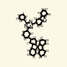 c1ccc(-c2nc(-c3cccc(-c4ccc5c(c4)-c4ccccc4C54c5ccccc5-c5ccccc54)c3)nc(-c3ccc4oc5ccccc5c4c3)n2)cc1